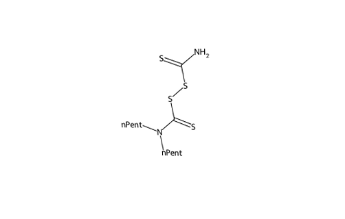 CCCCCN(CCCCC)C(=S)SSC(N)=S